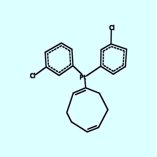 Clc1ccc[c]([Pt]([C]2=CCCC=CCC2)[c]2cccc(Cl)c2)c1